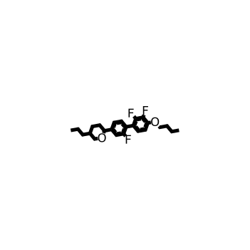 CCCCOc1ccc(-c2ccc(C3CCC(CCC)CO3)cc2F)c(F)c1F